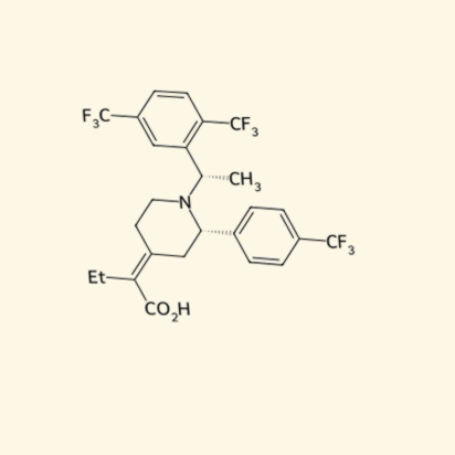 CCC(C(=O)O)=C1CCN([C@@H](C)c2cc(C(F)(F)F)ccc2C(F)(F)F)[C@H](c2ccc(C(F)(F)F)cc2)C1